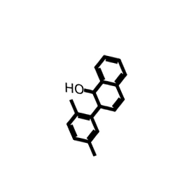 Cc1ccc(C)c(C2C=Cc3ccccc3C2O)c1